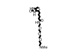 CNCCCOCCOCCOCCNC(=O)CCCCC1SCC2NC(=O)NC21